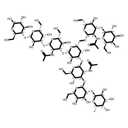 CC(=O)N[C@H]1[C@H](OC[C@H]2O[C@@H](O[C@H]3[C@H](O)[C@@H](CO)O[C@@H](O[C@H]4[C@@H](O)[C@@H](CO)O[C@@H](O[C@H]5[C@H](O)[C@@H](O)[C@H](O)O[C@@H]5CO)[C@@H]4O)[C@@H]3NC(C)=O)[C@H](O)[C@@H](O[C@@H]3O[C@H](CO)[C@@H](O)[C@H](O[C@@H]4O[C@H](CO)[C@H](O)[C@H](O)[C@H]4O[C@@H]4O[C@@H](C)[C@@H](O)[C@@H](O)[C@@H]4O)[C@H]3NC(C)=O)[C@H]2O)O[C@H](CO)[C@@H](O)[C@@H]1O[C@@H]1O[C@H](CO)[C@H](O)[C@H](O)[C@H]1O